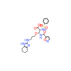 O=C(NC(OCCCNc1nc2c([nH]1)CCCC2)C(NS(=O)(=O)c1ccccc1)C(=O)O)c1ccno1